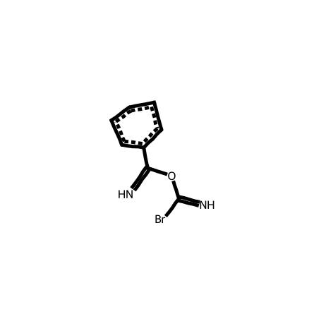 N=C(Br)OC(=N)c1ccccc1